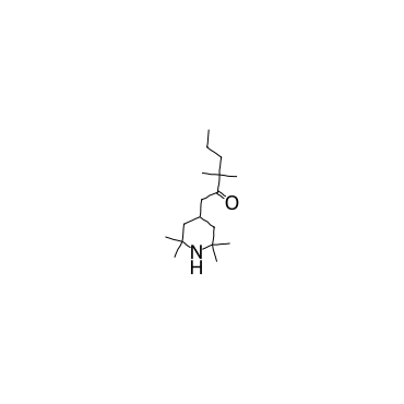 CCCC(C)(C)C(=O)CC1CC(C)(C)NC(C)(C)C1